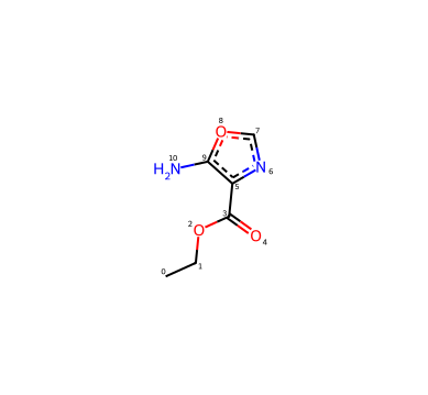 CCOC(=O)c1ncoc1N